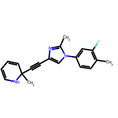 Cc1ccc(-n2cc(C#CC3(C)C=CC=CN3)nc2C)cc1F